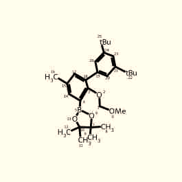 COCOc1c(B2OC(C)(C)C(C)(C)O2)cc(C)cc1-c1cc(C(C)(C)C)cc(C(C)(C)C)c1